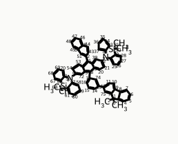 CC1(C)c2ccccc2-c2ccc(-c3cccc(-c4c5ccc(N6c7ccccc7[Si](C)(C)c7ccccc76)cc5c(-c5ccc6ccccc6c5)c5ccc(N6c7ccccc7[Si](C)(C)c7ccccc76)cc45)c3)cc21